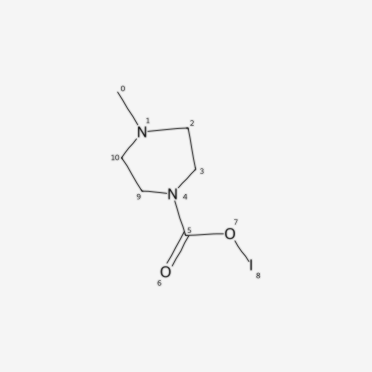 CN1CCN(C(=O)OI)CC1